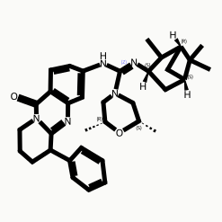 CC1[C@@H](/N=C(/Nc2ccc3c(=O)n4c(nc3c2)C(c2ccccc2)CCC4)N2C[C@@H](C)O[C@@H](C)C2)C[C@@H]2C[C@H]1C2(C)C